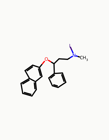 CN(I)CCC(Oc1ccc2ccccc2c1)c1ccccc1